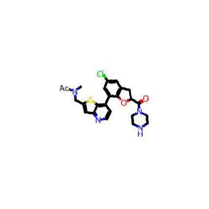 CC(=O)N(C)Cc1cc2nccc(-c3cc(Cl)cc4c3OC(C(=O)N3CCNCC3)C4)c2s1